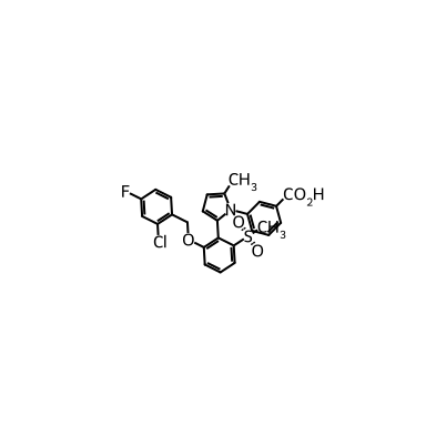 Cc1ccc(-c2c(OCc3ccc(F)cc3Cl)cccc2S(C)(=O)=O)n1-c1cccc(C(=O)O)c1